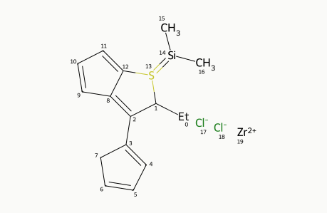 CCC1C(C2=CC=CC2)=C2C=CC=C2S1=[Si](C)C.[Cl-].[Cl-].[Zr+2]